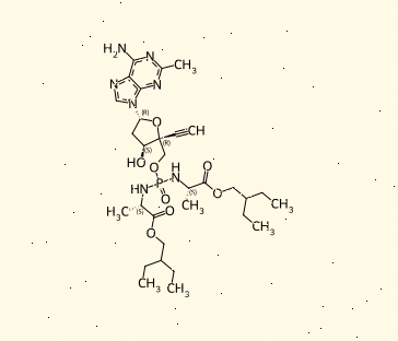 C#C[C@]1(COP(=O)(N[C@@H](C)C(=O)OCC(CC)CC)N[C@@H](C)C(=O)OCC(CC)CC)O[C@@H](n2cnc3c(N)nc(C)nc32)C[C@@H]1O